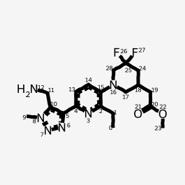 CCc1nc(-c2nnn(C)c2CN)ccc1N1CC(CC(=O)OC)CC(F)(F)C1